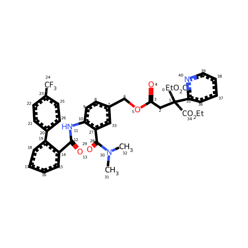 CCOC(=O)C(CC(=O)OCc1ccc(NC(=O)c2ccccc2-c2ccc(C(F)(F)F)cc2)c(C(=O)N(C)C)c1)(C(=O)OCC)c1ccccn1